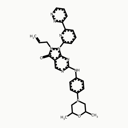 C=CCn1c(=O)c2cnc(Nc3ccc(N4CC(C)OC(C)C4)cc3)nc2n1-c1cccc(-c2cccnn2)n1